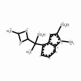 CCOC(=O)c1cc2c(C(C)(C(=O)O)C3OC(C)O3)cccc2n1C